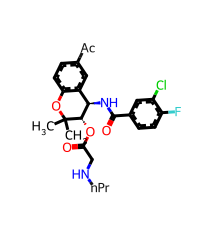 CCCNCC(=O)O[C@H]1[C@H](NC(=O)c2ccc(F)c(Cl)c2)c2cc(C(C)=O)ccc2OC1(C)C